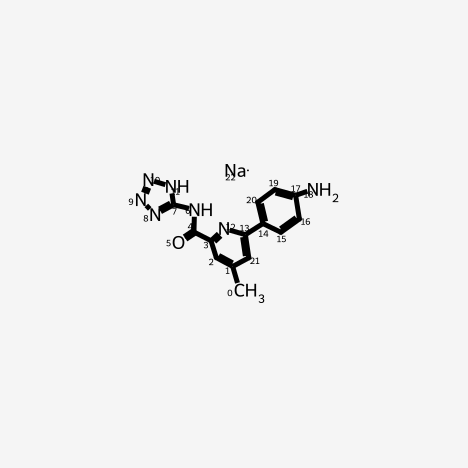 Cc1cc(C(=O)Nc2nnn[nH]2)nc(-c2ccc(N)cc2)c1.[Na]